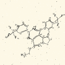 CCOC(=O)c1nc(-c2ccnc(C(F)(F)F)c2)nc(-c2ccc(C(F)(F)F)nc2)c1C1OCCO1